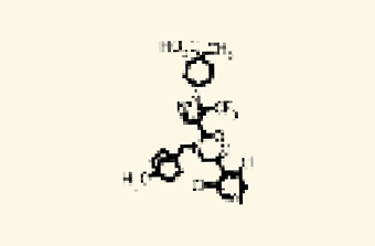 CC12CCC(CN(CC(=O)c3c(Cl)cncc3Cl)C(=O)c3cnn([C@H]4CC[C@](C)(C(=O)O)CC4)c3C(F)(F)F)(CC1)C2